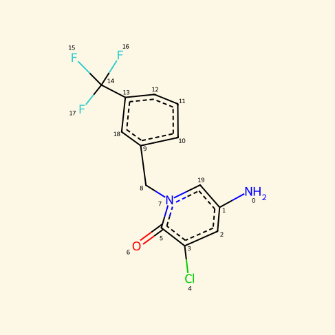 Nc1cc(Cl)c(=O)n(Cc2cccc(C(F)(F)F)c2)c1